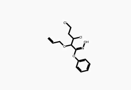 C=CCOC(C(=NO)Oc1ccccc1)C(Cl)CCCl